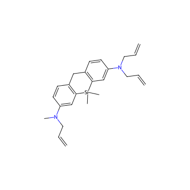 C=CCN(C)c1ccc2c(c1)[Si](C)(C)c1cc(N(CC=C)CC=C)ccc1C2